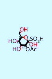 CC(=O)O[C@@H]1[C@@H](O)[C@@H](O)[C@@H](CO)O[C@]1(O)S(=O)(=O)O